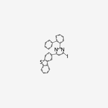 Ic1cc(-c2ccc3sc4ccccc4c3c2)nc(-c2ccccc2-c2ccccc2)n1